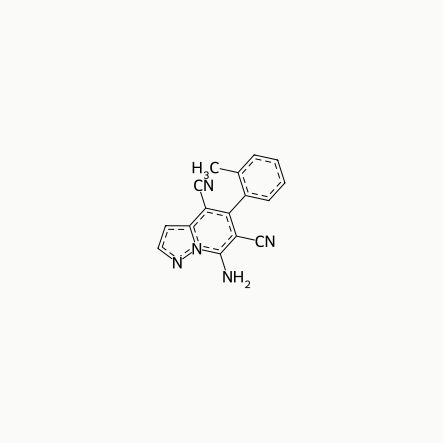 Cc1ccccc1-c1c(C#N)c(N)n2nccc2c1C#N